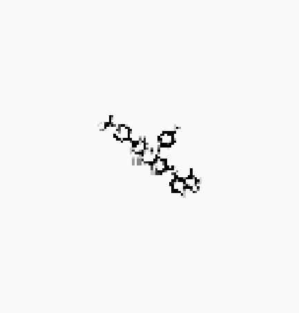 CC(=O)N1CCC(c2nsc(Nc3ncc(Sc4ccnc5onc(C)c45)cc3Oc3ccc(F)cc3)n2)CC1